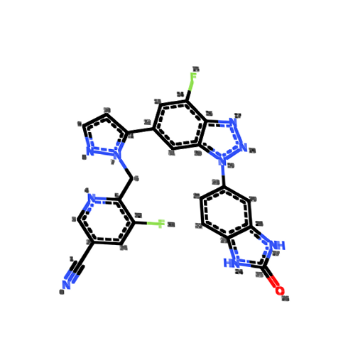 N#Cc1cnc(Cn2nccc2-c2cc(F)c3nnn(-c4ccc5[nH]c(=O)[nH]c5c4)c3c2)c(F)c1